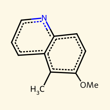 COc1ccc2ncccc2c1C